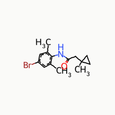 Cc1cc(Br)cc(C)c1NC(=O)CC1(C)CC1